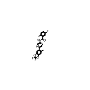 Cc1ccc(F)cc1C(=O)Nc1cnc(-c2cc3c(cc2C)OC(F)(F)O3)cn1